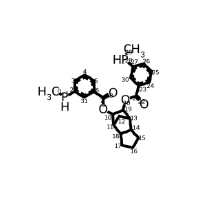 CPc1cccc(C(=O)OC2C3CC(C4CCCC43)C2OC(=O)c2cccc(PC)c2)c1